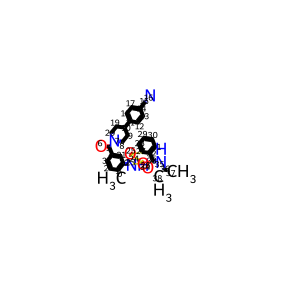 Cc1ccc(C(=O)N2CCC(c3ccc(C#N)cc3)CC2)cc1NS(=O)(=O)c1ccccc1C(=O)NC(C)C